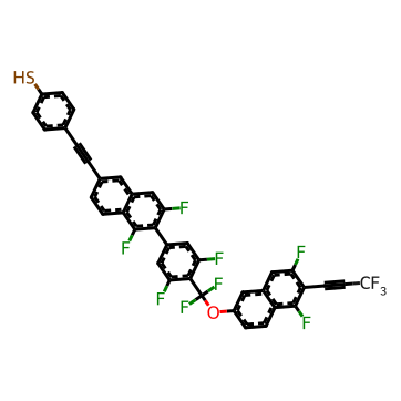 Fc1cc2cc(OC(F)(F)c3c(F)cc(-c4c(F)cc5cc(C#Cc6ccc(S)cc6)ccc5c4F)cc3F)ccc2c(F)c1C#CC(F)(F)F